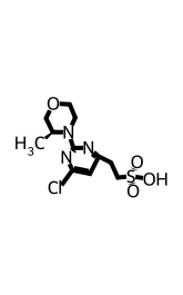 C[C@H]1COCCN1c1nc(Cl)cc(CCS(=O)(=O)O)n1